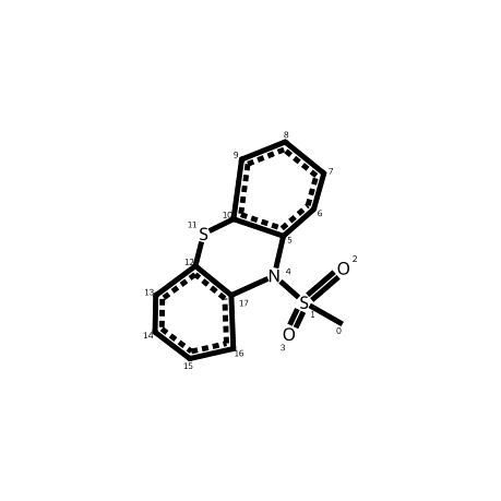 CS(=O)(=O)N1c2ccccc2Sc2ccccc21